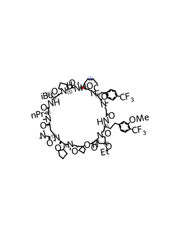 CCC[C@H]1C(=O)N[C@@H]([C@@H](C)CC)C(=O)N2CCC[C@H]2C(=O)N(C)[C@H]2C/C=C\CCN(C2=O)[C@@H](Cc2ccc(C(F)(F)F)cc2)C(=O)N(C)CC(=O)N[C@@H](CCc2ccc(C(F)(F)F)c(OC)c2)C(=O)N2C[C@H](OCC)C[C@H]2C(=O)OC2(CCC2)C(=O)N(C)[C@@H](C2CCCC2)C(=O)N(C)[C@H](C(=O)N(C)C)CC(=O)N1C